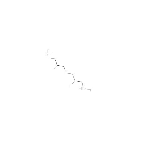 CC(C)NCC(F)COCC(F)COC(C)(C)C